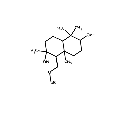 CC(=O)OC1CCC2(C)C(COC(C)(C)C)C(C)(O)CCC2C1(C)C